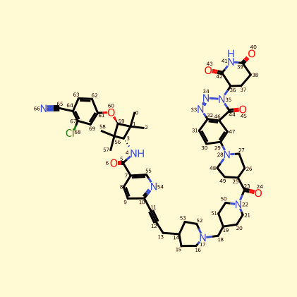 CC1(C)[C@H](NC(=O)c2ccc(C#CCC3CCN(CC4CCN(C(=O)C5CCN(c6ccc7nnn(C8CCC(=O)NC8=O)c(=O)c7c6)CC5)CC4)CC3)nc2)C(C)(C)[C@H]1Oc1ccc(C#N)c(Cl)c1